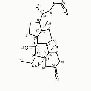 CCOC(=O)CC[C@@H](C)C1CCC2C3C(=O)[C@@H](CC)[C@@H]4CC(=O)CC[C@]4(C)C3CC[C@@]21C